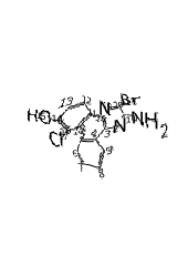 Nc1nc(-c2ccccc2)c(-c2ccc(O)c(Cl)c2)nc1Br